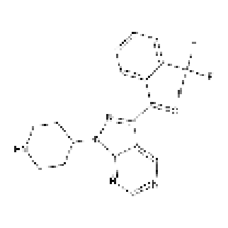 O=C(c1ccccc1C(F)(F)F)c1nn(C2CCNCC2)c2ncncc12